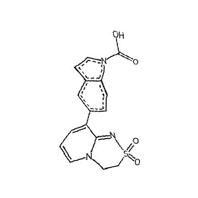 O=C(O)n1ccc2cc(C3=CC=CN4CCS(=O)(=O)N=C34)ccc21